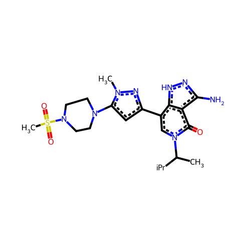 CC(C)C(C)n1cc(-c2cc(N3CCN(S(C)(=O)=O)CC3)n(C)n2)c2[nH]nc(N)c2c1=O